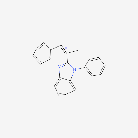 C/C(=C/c1ccccc1)c1nc2ccccc2n1-c1ccccc1